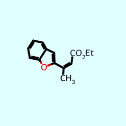 CCOC(=O)/C=C(/C)c1cc2ccccc2o1